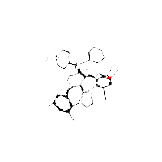 CC(C)=CC=C1C(=C2N(c3c(C)cc(C)cc3C)CCN2c2c(C)cc(C)cc2C)C(Cl)CCC1(Cl)P(C1CCCCC1)C1CCCCC1.[Ru+2]